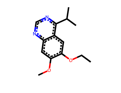 CCOc1cc2c(C(C)C)ncnc2cc1OC